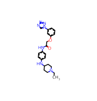 CCN1CCC(Nc2ccc(NC(=O)COc3cccc(-n4cnnn4)c3)cc2)CC1